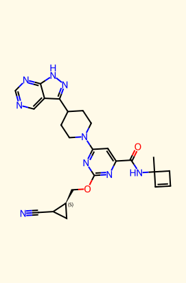 CC1(NC(=O)c2cc(N3CCC(c4n[nH]c5ncncc45)CC3)nc(OC[C@H]3CC3C#N)n2)C=CC1